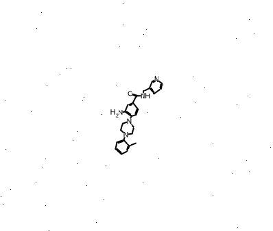 Cc1ccccc1N1CCN(c2ccc(C(=O)NCc3cccnc3)cc2N)CC1